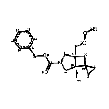 CCOOC[C@]12CN(C(=O)OCc3ccccc3)C[C@H]1C1(CC1)C2